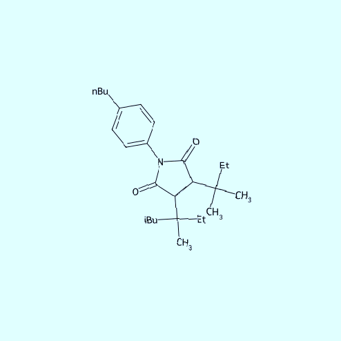 CCCCc1ccc(N2C(=O)C(C(C)(C)CC)C(C(C)(CC)C(C)CC)C2=O)cc1